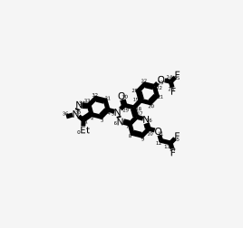 CCc1c2cc(-n3nc4ccc(OCC(F)F)nc4c(-c4ccc(OC(F)F)cc4)c3=O)ccc2nn1C